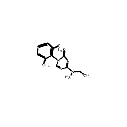 CCN(C)c1ncn(-c2c(C)cccc2C)c(=O)n1